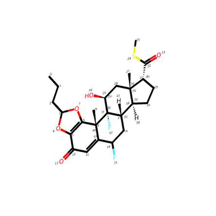 CCCC1OC2=C(O1)[C@@]1(C)C(=CC2=O)C(F)C[C@H]2[C@@H]3CC[C@@H](C(=O)SC)[C@@]3(C)C[C@H](O)[C@@]21F